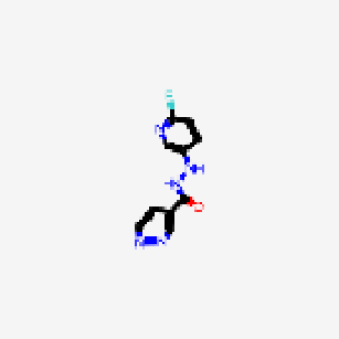 O=C(NNc1ccc(F)nc1)c1ccnnc1